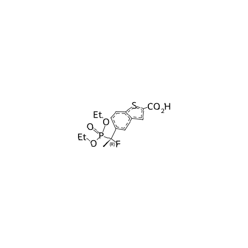 CCOP(=O)(OCC)[C@@](C)(F)c1ccc2sc(C(=O)O)cc2c1